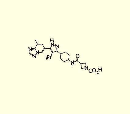 Cc1cc(-c2[nH]nc(C3CCC(N(C)C(=O)C4CN(C(=O)O)C4)CC3)c2C(C)C)cn2ncnc12